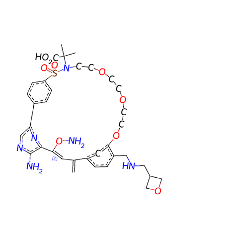 C=C1/C=C(\ON)c2nc(cnc2N)-c2ccc(cc2)S(=O)(=O)N(C(C)(C)C(=O)O)CCOCCOCCOc2cc1ccc2CNCC1COC1